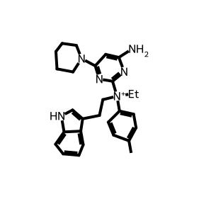 CC[N+](CCc1c[nH]c2ccccc12)(c1ccc(C)cc1)c1nc(N)cc(N2CCCCC2)n1